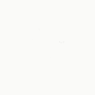 CNc1cc(F)ccc1CC(C=O)=S(=O)=O